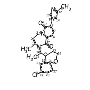 CC1=CCn2c(ccc(-n3cnc(C)c3)c2=O)C(=O)N1C(C)C1CCOc2ccc(Cl)cc21